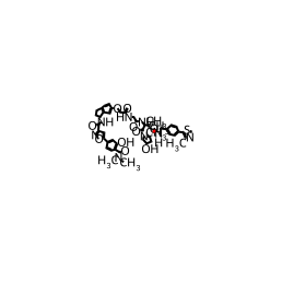 Cc1ncsc1-c1ccc(CNC(=O)[C@@H]2C[C@@H](O)CN2C(=O)C(NC(=O)CNC(=O)COc2ccc3c(c2)[C@H](NC(=O)c2cc(-c4ccc(C(=O)N(C)C)c(O)c4)on2)CC3)C(C)(C)C)cc1